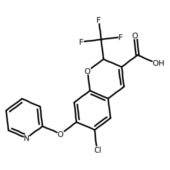 O=C(O)C1=Cc2cc(Cl)c(Oc3ccccn3)cc2OC1C(F)(F)F